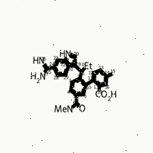 CCC(c1ccc(C(=O)NC)cc1-c1ccc(C)cc1C(=O)O)c1c[nH]c2cc(C(=N)N)ccc12